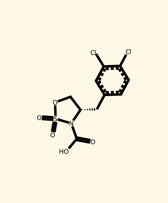 O=C(O)N1[C@@H](Cc2ccc(Cl)c(Cl)c2)COS1(=O)=O